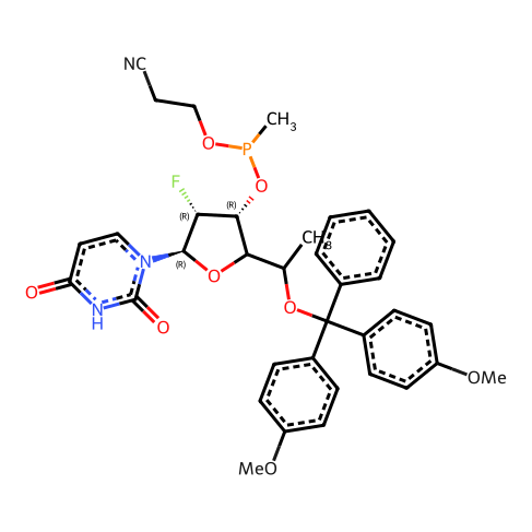 COc1ccc(C(OC(C)C2O[C@@H](n3ccc(=O)[nH]c3=O)[C@H](F)[C@@H]2OP(C)OCCC#N)(c2ccccc2)c2ccc(OC)cc2)cc1